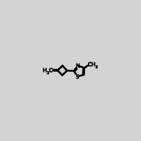 C=C1CC(c2nc(C)cs2)C1